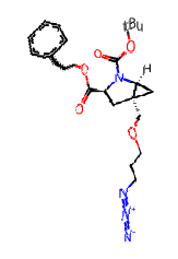 CC(C)(C)OC(=O)N1[C@H]2C[C@@]2(COCCCN=[N+]=[N-])C[C@H]1C(=O)OCc1ccccc1